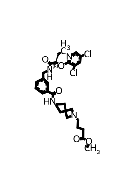 CC[C@@H](Oc1ncc(Cl)cc1Cl)C(=O)NCc1cccc(C(=O)NC2CC3(C2)CN(CCCC(=O)OC)C3)c1